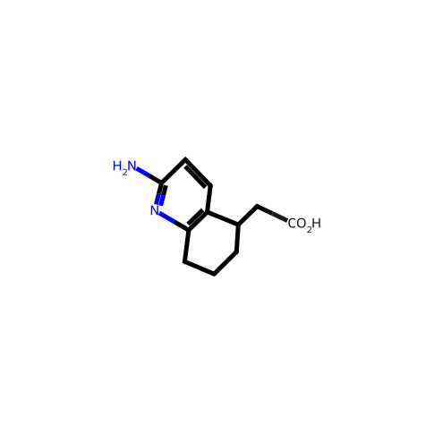 Nc1ccc2c(n1)CCCC2CC(=O)O